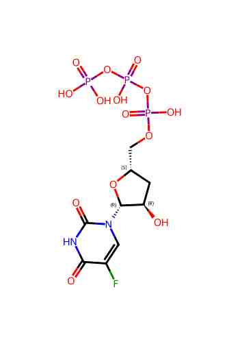 O=c1[nH]c(=O)n([C@@H]2O[C@H](COP(=O)(O)OP(=O)(O)OP(=O)(O)O)C[C@H]2O)cc1F